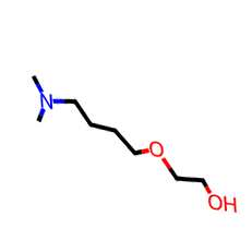 CN(C)CCCCOCCO